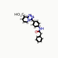 O=C(Cc1ccccc1)Nc1ccc(-c2nnc3c(C(=O)O)cccn23)cc1